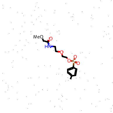 COCC(=O)NCCOCCOS(=O)(=O)c1ccc(C)cc1